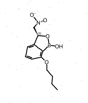 CCCCOc1cccc2c1B(O)O[C@@H]2C[N+](=O)[O-]